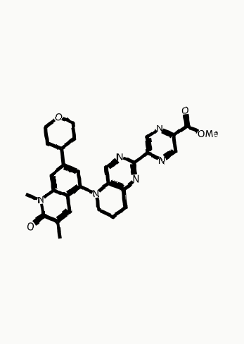 COC(=O)c1cnc(-c2ncc3c(n2)CCCN3c2cc(C3CCOCC3)cc3c2cc(C)c(=O)n3C)cn1